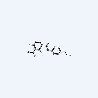 CCCc1ccc(OC(=O)c2ccc(C)c(C(F)F)c2F)cc1